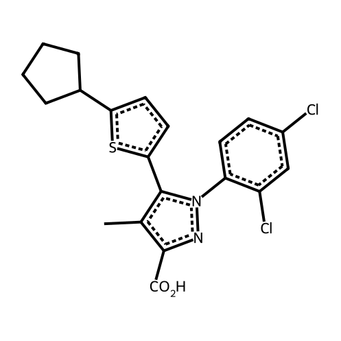 Cc1c(C(=O)O)nn(-c2ccc(Cl)cc2Cl)c1-c1ccc(C2CCCC2)s1